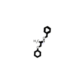 C/C(COC1CCCCC1)=N\OCc1ccccc1